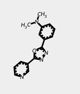 CN(C)c1cccc(-c2nnc(-c3cccnc3)o2)c1